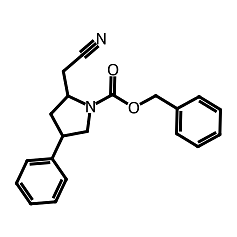 N#CCC1CC(c2ccccc2)CN1C(=O)OCc1ccccc1